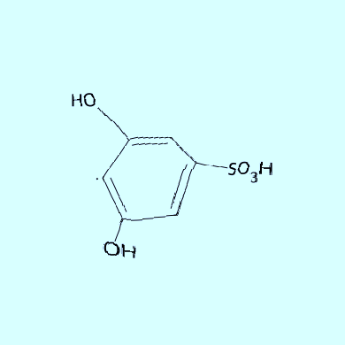 O=S(=O)(O)c1cc(O)[c]c(O)c1